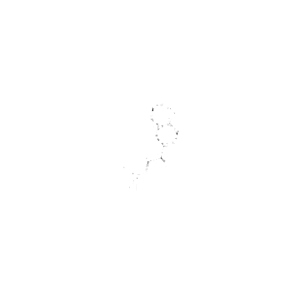 CN(C)/C=C/C(=O)c1ccc2ncccc2c1